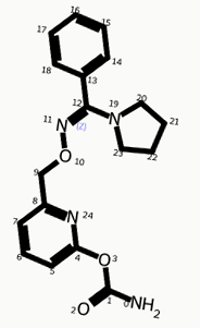 NC(=O)Oc1cccc(CO/N=C(/c2ccccc2)N2CCCC2)n1